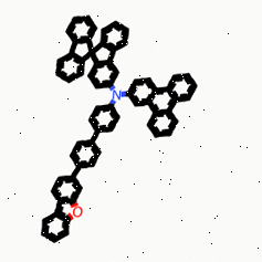 c1ccc2c(c1)-c1ccccc1C21c2ccccc2-c2cc(N(c3ccc(-c4ccc(-c5ccc6c(c5)oc5ccccc56)cc4)cc3)c3ccc4c5ccccc5c5ccccc5c4c3)ccc21